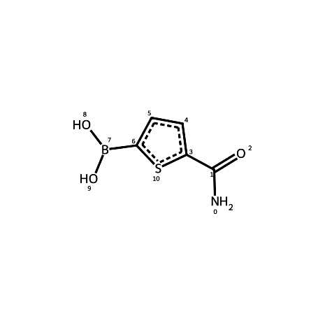 NC(=O)c1ccc(B(O)O)s1